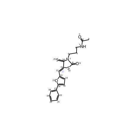 CC(=O)NCCCN1C(=O)S/C(=C\c2ccc(-c3ccccc3)o2)C1=S